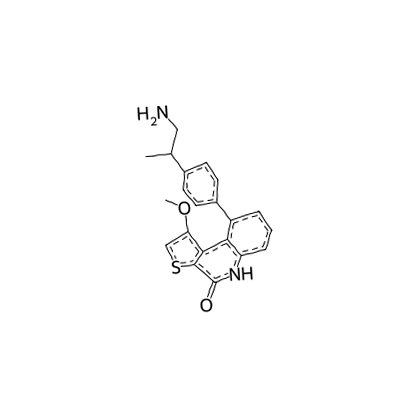 COc1csc2c(=O)[nH]c3cccc(-c4ccc(C(C)CN)cc4)c3c12